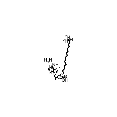 N.[2H]C([2H])([2H])CCCCCCCCCCCCCCCOP(=O)(O)COC(C)Cn1cnc2c(N)ncnc21